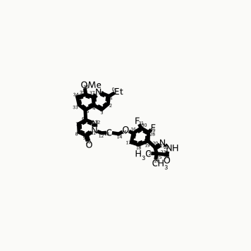 CCc1ccc2c(-c3ccc(=O)n(CCCOc4ccc(C5=NNC(=O)C5(C)C)c(F)c4F)n3)ccc(OC)c2n1